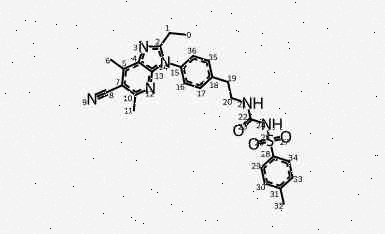 CCc1nc2c(C)c(C#N)c(C)nc2n1-c1ccc(CCNC(=O)NS(=O)(=O)c2ccc(C)cc2)cc1